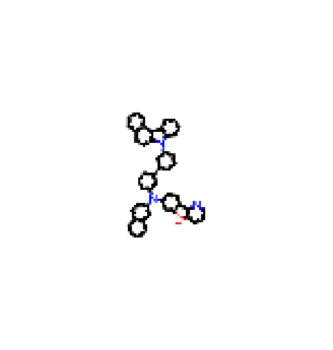 c1cc(-c2cccc(-n3c4ccccc4c4c5ccccc5ccc43)c2)cc(N(c2ccc3ccccc3c2)c2ccc3c(c2)oc2cccnc23)c1